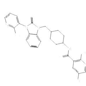 Cc1ncc(Cl)cc1C(=O)NC1CCC(Cn2c(=O)n(-c3cccnc3C)c3ccccc32)CC1